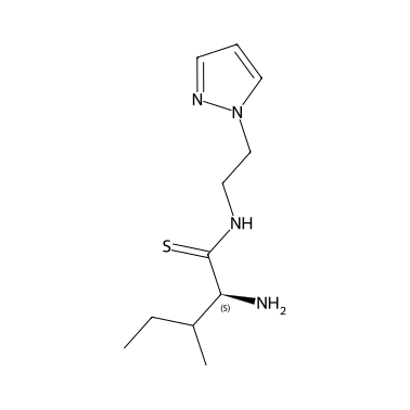 CCC(C)[C@H](N)C(=S)NCCn1cccn1